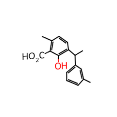 Cc1cccc(C(C)c2ccc(C)c(C(=O)O)c2O)c1